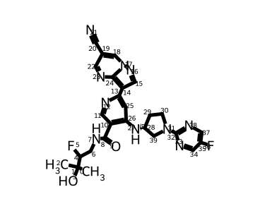 CC(C)(O)C(F)CNC(=O)c1cnc(-c2cnn3cc(C#N)cnc23)cc1N[C@@H]1CCN(c2ncc(F)cn2)C1